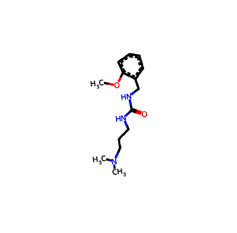 COc1ccccc1CNC(=O)NCCCN(C)C